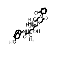 C[C@H](C[C@H](O)[C@@H](N)CN1CC(=O)N(c2ccccc2Cl)CC1(C)C)C(=O)NC1C2CC3CC1CC(O)(C3)C2